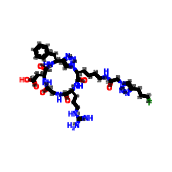 N=C(N)NCCC[C@@H]1NC(=O)[C@H](CCCCNC(=O)Cn2cc(CCCF)nn2)n2cc(nn2)[C@H](Cc2ccccc2)NC(=O)[C@H](CC(=O)O)NC(=O)CNC1=O